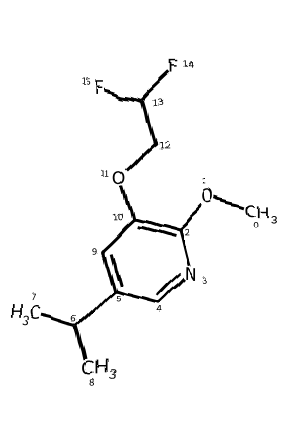 COc1ncc(C(C)C)cc1OCC(F)F